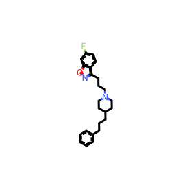 Fc1ccc2c(CCCN3CCC(CCCc4ccccc4)CC3)noc2c1